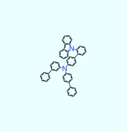 c1ccc(-c2ccc(N(c3ccc(-c4ccccc4-n4c5ccccc5c5ccccc54)cc3)c3cccc(-c4ccccc4)c3)cc2)cc1